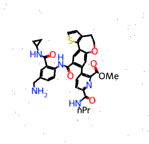 CCCNC(=O)c1ccc(-c2cc3c(cc2C(=O)Nc2ccc(CN)cc2C(=O)NC2CC2)-c2sccc2CCO3)c(C(=O)OC)n1